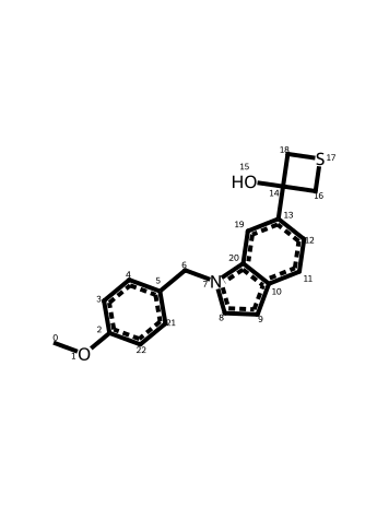 COc1ccc(Cn2ccc3ccc(C4(O)CSC4)cc32)cc1